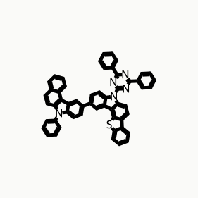 c1ccc(-c2nc(-c3ccccc3)nc(-n3c4ccc(-c5ccc6c(c5)c5c7ccccc7ccc5n6-c5ccccc5)cc4c4c5sc6ccccc6c5ccc43)n2)cc1